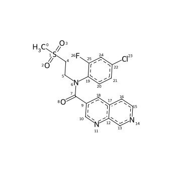 CS(=O)(=O)CCN(C(=O)c1cnc2cnccc2c1)c1ccc(Cl)cc1F